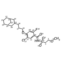 COCCS(=O)(=O)NC(=O)c1cc(Cl)c(OCCCC2CC3CCCC(C2)C3)cc1F